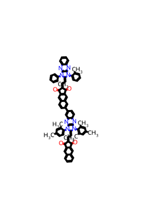 Cc1cc(C)c(N2/C(=C/C=C3C(=O)c4cc5ccccc5cc4C3=O)N(c3c(C)cc(C)cc3C)c3nc4cc(-c5ccc6cc7c(cc6c5)C(=O)/C(=C\C=C5N(c6ccccc6C)c6nc8ccccc8nc6N5c5ccccc5C)C7=O)ccc4nc32)c(C)c1